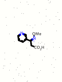 CO/N=C(/CC(=O)O)c1cccnc1